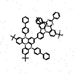 CC(C)(C)c1ccc2c(c1)N(c1ccc(-c3ccccc3)cc1)c1cc(-c3ccc4c(c3)c3cc(C(C)(C)C)ccc3n4-c3ccc(C(F)(F)F)cc3-c3nc(-c4ccccc4)nc(-c4ccccc4)n3)cc3c1B2c1ccc(C(C)(C)C)cc1N3c1ccc(-c2ccccc2)cc1